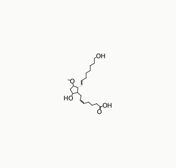 CO[C@@H]1C[C@H](O)C(C/C=C\CCCC(=O)O)[C@H]1/C=C/CCCCCCO